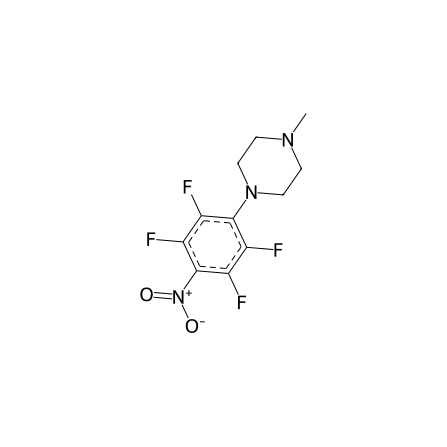 CN1CCN(c2c(F)c(F)c([N+](=O)[O-])c(F)c2F)CC1